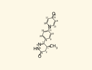 C[C@H]1CC(=O)NN=C1c1ccc(-n2ccc(=O)cc2)cc1